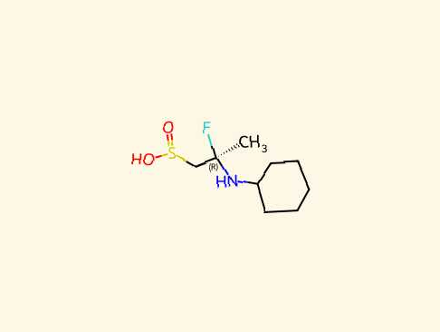 C[C@@](F)(CS(=O)O)NC1CCCCC1